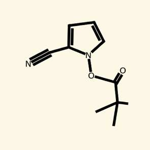 CC(C)(C)C(=O)On1cccc1C#N